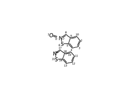 C=O.c1ccc2sncc2c1.c1ccc2sncc2c1